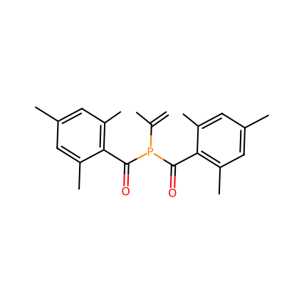 C=C(C)P(C(=O)c1c(C)cc(C)cc1C)C(=O)c1c(C)cc(C)cc1C